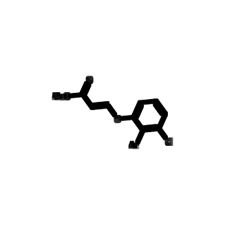 COC(=O)C=COc1cccc(Cl)c1C(C)=O